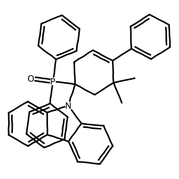 CC1(C)CC(n2c3ccccc3c3ccccc32)(P(=O)(c2ccccc2)c2ccccc2)CC=C1c1ccccc1